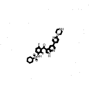 O=C(c1c(F)ccc(NS(=O)(=O)C2CCCCC2)c1F)c1c[nH]c2ncc(-c3ccc(N4CCNCC4)nc3)cc12